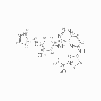 C=CC(=O)N1CCC(Nc2ccc3ncnc(Nc4ccc(OCc5ccnn5C)c(Cl)c4)c3n2)C1